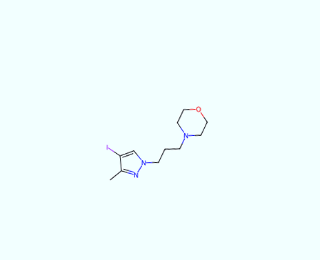 Cc1nn(CCCN2CCOCC2)cc1I